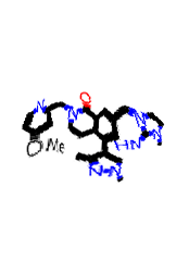 COc1ccnc(CN2CCc3c(cc(CN4CCN(C)C4=N)cc3-c3cn(C)nc3C)C2=O)c1